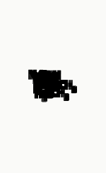 Cc1cc(C(C)(C)C)c(O)c(S(=O)(=O)Nc2ccc(C#N)c(C(F)(F)F)c2)c1